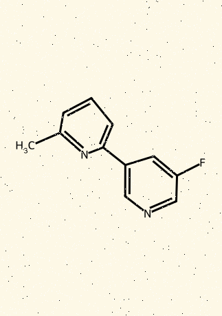 Cc1cccc(-c2cncc(F)c2)n1